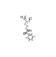 CCC(CCl)CCCNC(=O)c1ccccc1